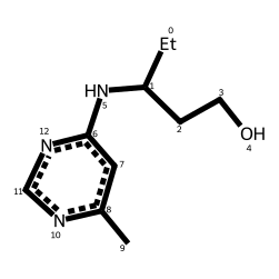 CCC(CCO)Nc1cc(C)ncn1